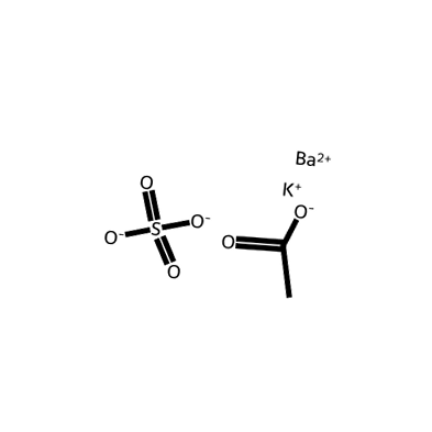 CC(=O)[O-].O=S(=O)([O-])[O-].[Ba+2].[K+]